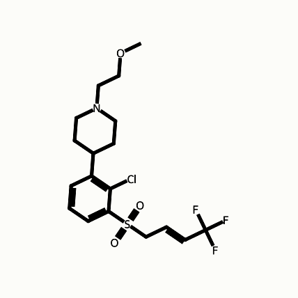 COCCN1CCC(c2cccc(S(=O)(=O)CC=CC(F)(F)F)c2Cl)CC1